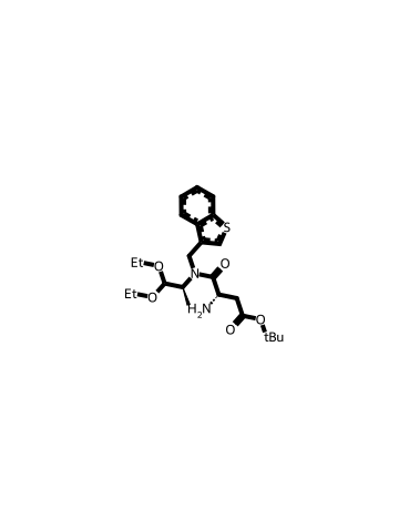 CCOC(OCC)[C@H](C)N(Cc1csc2ccccc12)C(=O)[C@@H](N)CC(=O)OC(C)(C)C